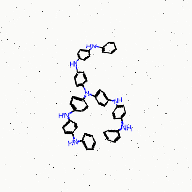 c1ccc(Nc2ccc(Nc3ccc(N(c4ccc(Nc5ccc(Nc6ccccc6)cc5)cc4)c4ccc(Nc5ccc(Nc6ccccc6)cc5)cc4)cc3)cc2)cc1